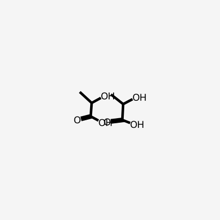 CC(O)C(=O)O.CC(O)C(=O)O